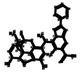 Cc1c(C(=O)O)cc2cc(-c3ccccn3)cn2c1C(C)c1cc(O)c2c3c1C[C@@H]1[C@@H]4C=C[C@H](O)[C@H](O2)[C@]34CCN1C